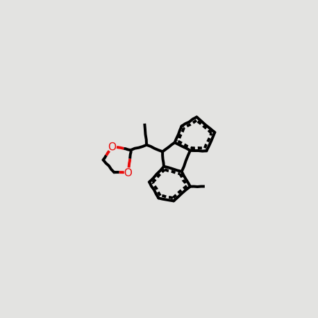 Cc1cccc2c1-c1ccccc1C2C(C)C1OCCO1